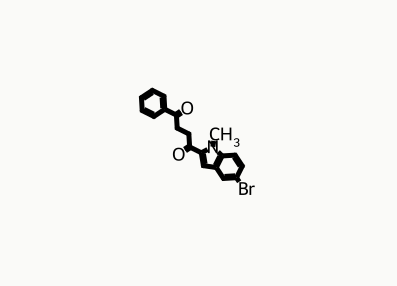 Cn1c(C(=O)CCC(=O)c2ccccc2)cc2cc(Br)ccc21